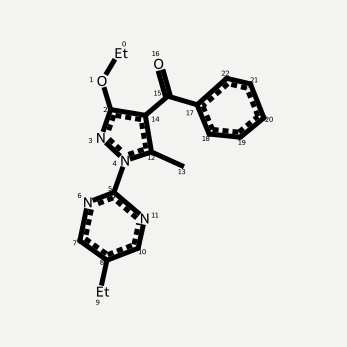 CCOc1nn(-c2ncc(CC)cn2)c(C)c1C(=O)c1ccccc1